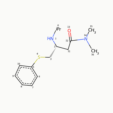 CC(C)N[C@@H](CSc1ccccc1)CC(=O)N(C)C